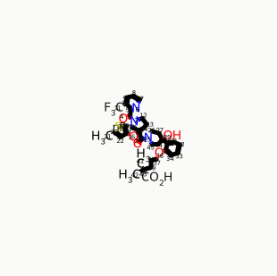 CCC[C@H]1N(C(=O)c2ncccc2C(F)(F)F)CCC[C@@]1(Oc1csc(C)c1)C(=O)N1CCC(O)(c2ccccc2OCCCC(C)(C)C(=O)O)CC1